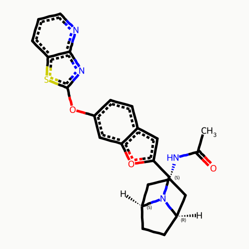 CC(=O)N[C@@H]1C[C@H]2CC[C@@H](C1)N2Cc1cc2ccc(Oc3nc4ncccc4s3)cc2o1